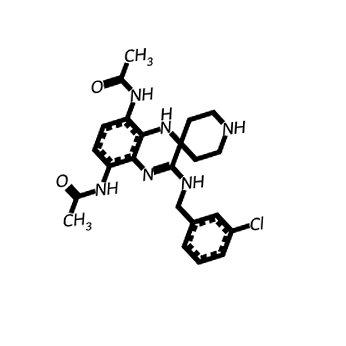 CC(=O)Nc1ccc(NC(C)=O)c2c1N=C(NCc1cccc(Cl)c1)C1(CCNCC1)N2